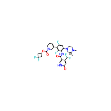 C[C@H]1CN(c2cc(F)c(C3=CCCN(C(=O)OC4CC(F)(F)C4)C3)c(F)c2NC(=O)c2c[nH]c(=O)cc2C(F)F)CCN1C